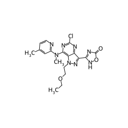 CCOCCn1nc(-c2nc(=O)o[nH]2)c2nc(Cl)nc(N(C)c3cc(C)ccn3)c21